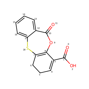 O=C(O)C1=CCCC2=C1OC(=O)c1ccccc1S2